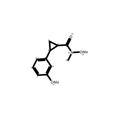 COc1cccc(C2CC2C(=O)N(C)OC)c1